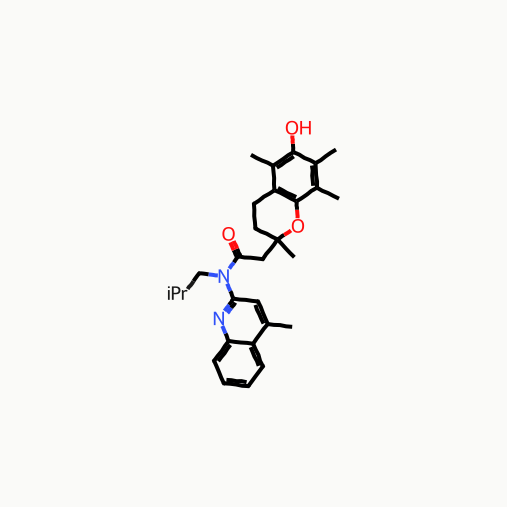 Cc1c(C)c2c(c(C)c1O)CCC(C)(CC(=O)N(CC(C)C)c1cc(C)c3ccccc3n1)O2